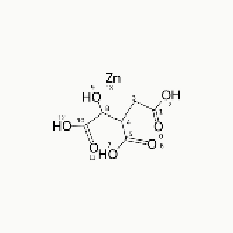 O=C(O)CC(C(=O)O)C(O)C(=O)O.[Zn]